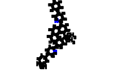 C#C/C=C\C(=C/C)c1ccc(-c2ccc3c4c2ccc2ccc5c(-c6ccc(-c7ccccc7)cn6)ccc(c5c24)C3(C)C)nc1